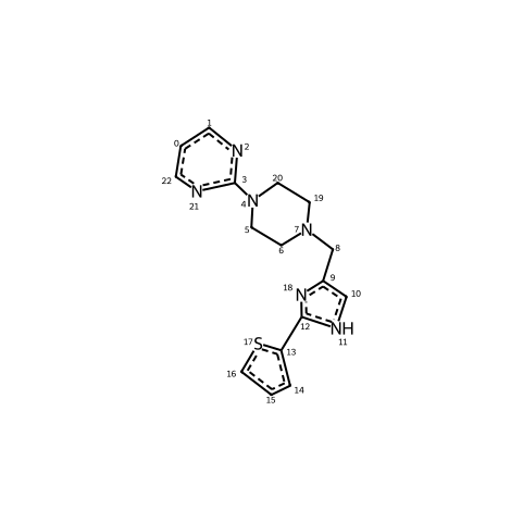 c1cnc(N2CCN(Cc3c[nH]c(-c4cccs4)n3)CC2)nc1